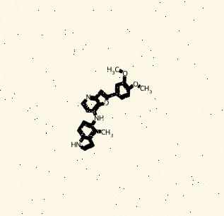 COc1ccc(-c2cc3nccc(Nc4ccc5[nH]ccc5c4C)c3o2)cc1OC